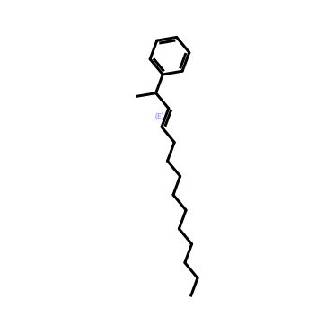 CCCCCCCCCC/C=C/C(C)c1ccccc1